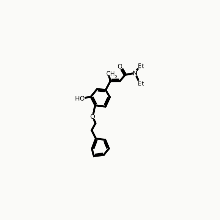 CCN(CC)C(=O)/C=C(\C)c1ccc(OCCc2ccccc2)c(O)c1